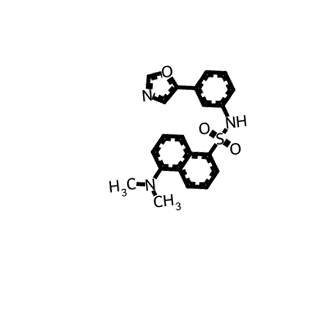 CN(C)c1cccc2c(S(=O)(=O)Nc3cccc(-c4cnco4)c3)cccc12